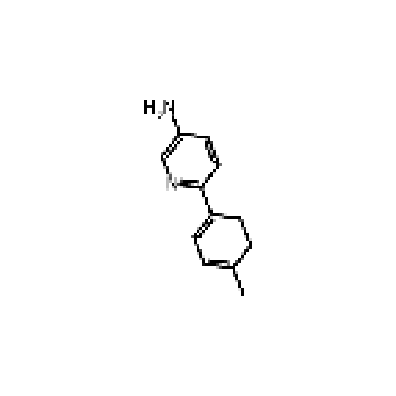 CC1=CC=C(c2ccc(N)cn2)CC1